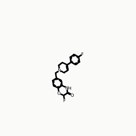 O=C1Nc2cc(CN3CC=C(c4ccc(F)cc4)CC3)ccc2OC1F